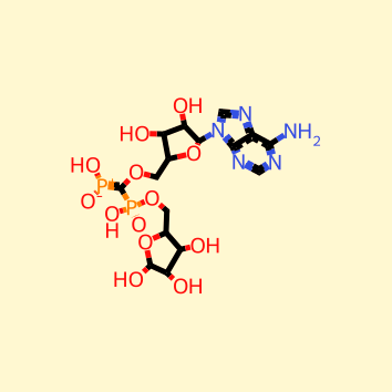 Nc1ncnc2c1ncn2C1OC(CO/C(=[P+](/[O-])O)P(=O)(O)OCC2OC(O)C(O)C2O)C(O)C1O